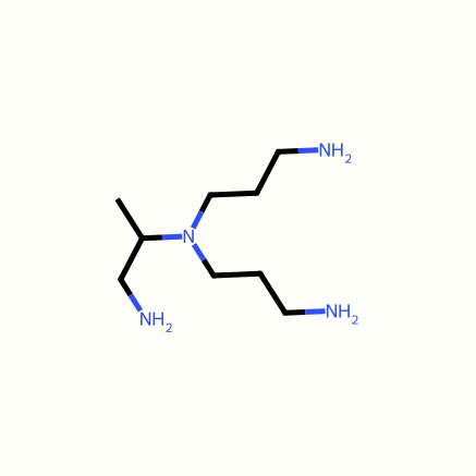 CC(CN)N(CCCN)CCCN